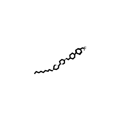 CCCCCCCCC[C@H]1CC[C@H]([C@H]2CC[C@H](CCC3CCC(c4ccc(CF)cc4)CC3)CC2)CC1